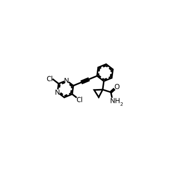 NC(=O)C1(c2ccccc2C#Cc2nc(Cl)ncc2Cl)CC1